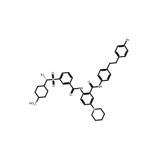 CC[C@@H](C1CCC(C(=O)O)CC1)S(=O)(=O)c1cccc(C(=O)Nc2ccc(N3CCCCC3)cc2C(=O)Nc2ccc(CCc3ccc(C(C)=O)cc3)cc2)c1